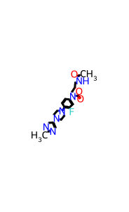 CC(=O)NCC1CN(c2ccc(N3CCN(c4cnc(C)nc4)CC3)c(F)c2)C(=O)O1